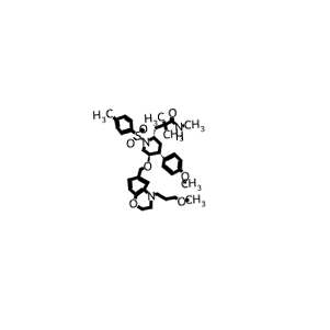 CNC(=O)C(C)(C)C[C@@H]1C[C@H](c2ccc(OC)cc2)[C@@H](OCc2ccc3c(c2)N(CCCOC)CCO3)CN1S(=O)(=O)c1ccc(C)cc1